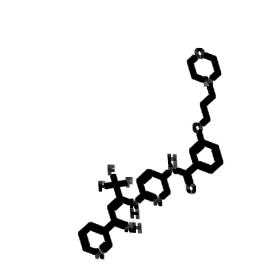 N=C(/C=C(\NC1=NCC(NC(=O)c2cccc(OCCCN3CCOCC3)c2)C=C1)C(F)(F)F)c1cccnc1